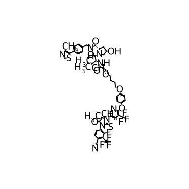 Cc1ncsc1-c1ccc(CNC(=O)[C@@H]2C[C@@H](O)CN2C(=O)[C@@H](NC(=O)COCCCCOc2ccc(Oc3ncc(N4C(=S)N(c5ccc(C#N)c(C(F)(F)F)c5F)C(=O)C4(C)C)cc3C(F)(F)F)cc2)C(C)(C)C)cc1